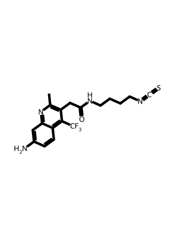 Cc1nc2cc(N)ccc2c(C(F)(F)F)c1CC(=O)NCCCCN=C=S